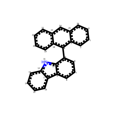 c1ccc2c(-c3cccc4c3[nH]c3ccccc34)c3ccccc3cc2c1